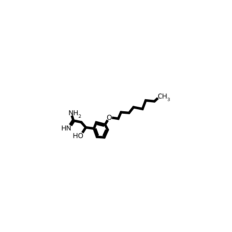 CCCCCCCCOc1cccc(C(O)CC(=N)N)c1